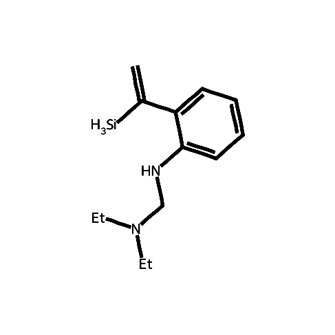 C=C([SiH3])c1ccccc1NCN(CC)CC